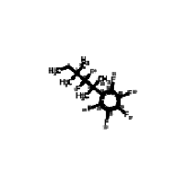 CCC(C)(C)C(F)(F)C(C)(C)c1c(F)c(F)c(F)c(F)c1F